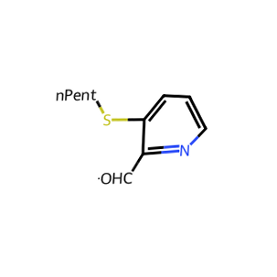 CCCCCSc1cccnc1[C]=O